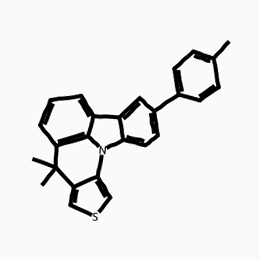 Cc1ccc(-c2ccc3c(c2)c2cccc4c2n3-c2cscc2C4(C)C)cc1